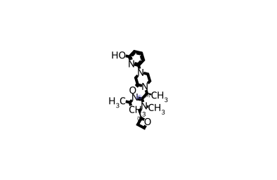 CC(C)/N=C(/[C@H](C)N1CCN(c2cccc(O)n2)CC1=O)N(C)C[C@@H]1CCO1